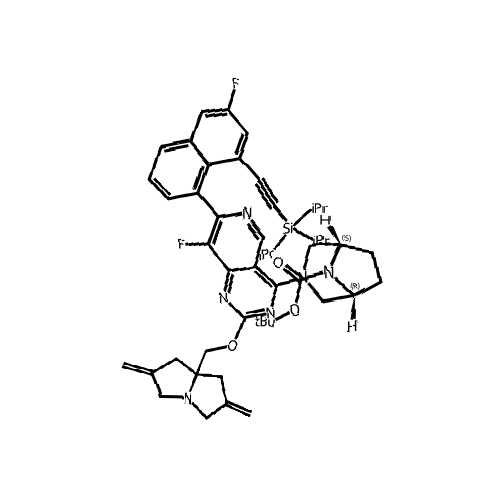 C=C1CN2CC(=C)CC2(COc2nc(N3C[C@H]4CC[C@@H](C3)N4C(=O)OC(C)(C)C)c3cnc(-c4cccc5cc(F)cc(C#C[Si](C(C)C)(C(C)C)C(C)C)c45)c(F)c3n2)C1